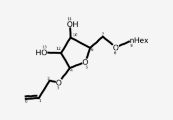 C=CCOC1OC(COCCCCCC)C(O)C1O